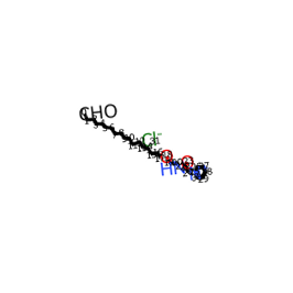 O=CCCCCCCCCCCCCCCCCCOCCNC(=O)C[n+]1ccccc1.[Cl-]